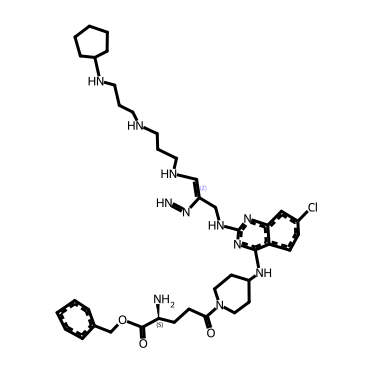 N=N/C(=C\NCCCNCCCNC1CCCCC1)CNc1nc(NC2CCN(C(=O)CC[C@H](N)C(=O)OCc3ccccc3)CC2)c2ccc(Cl)cc2n1